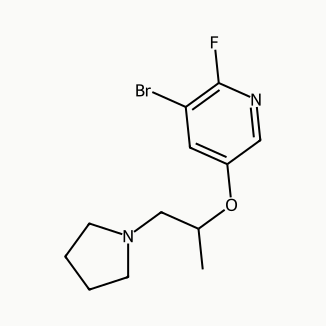 CC(CN1CCCC1)Oc1cnc(F)c(Br)c1